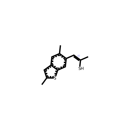 C/C(S)=C/c1cc2sc(C)cc2cc1C